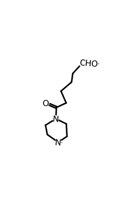 O=[C]CCCCC(=O)N1CC[N]CC1